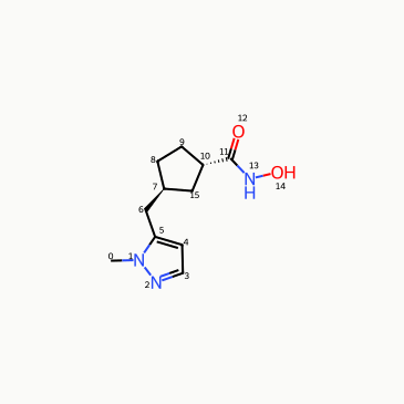 Cn1nccc1C[C@H]1CC[C@H](C(=O)NO)C1